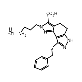 Cl.Cl.NCCCn1nc2c(c1C(=O)O)CCc1[nH]nc(SCc3ccccc3)c1-2